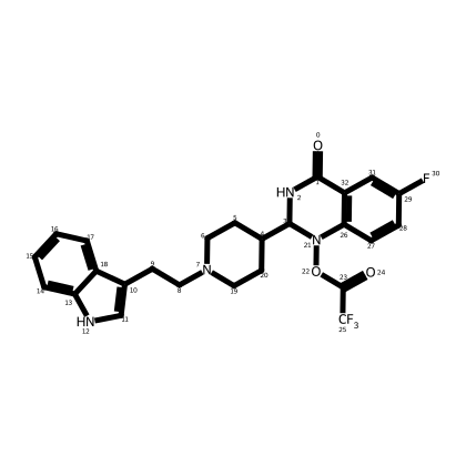 O=C1NC(C2CCN(CCc3c[nH]c4ccccc34)CC2)N(OC(=O)C(F)(F)F)c2ccc(F)cc21